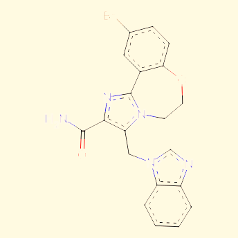 NC(=O)c1nc2n(c1Cn1cnc3ccccc31)CCOc1ccc(Br)cc1-2